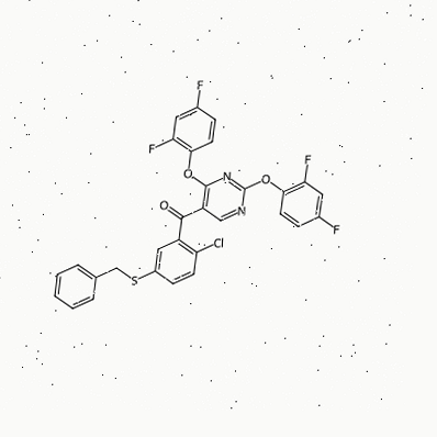 O=C(c1cc(SCc2ccccc2)ccc1Cl)c1cnc(Oc2ccc(F)cc2F)nc1Oc1ccc(F)cc1F